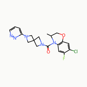 CC1COc2cc(Cl)c(F)cc2N1C(=O)N1CC2(C1)CN(c1cccnn1)C2